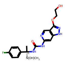 CN(O)[C@](C)(NC(=O)Nc1cc2[nH]nc(OCCO)c2cn1)c1ccc(F)cc1